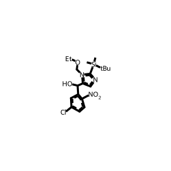 CCOCn1c(C(O)c2cc(Cl)ccc2[N+](=O)[O-])cnc1[Si](C)(C)C(C)(C)C